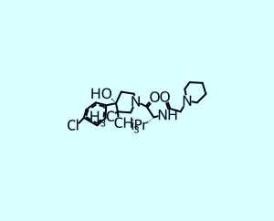 CC(C)[C@@H](NC(=O)CN1CCCCC1)C(=O)N1CC[C@](O)(c2ccc(Cl)cc2)C(C)(C)C1